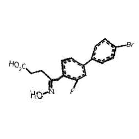 O=C(O)CCC(=NO)c1ccc(-c2ccc(Br)cc2)cc1F